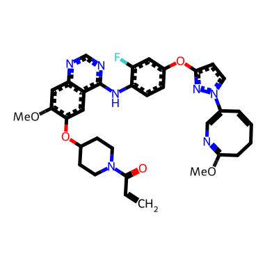 C=CC(=O)N1CCC(Oc2cc3c(Nc4ccc(Oc5ccn(C6=C/N=C(/OC)CC/C=C\6)n5)cc4F)ncnc3cc2OC)CC1